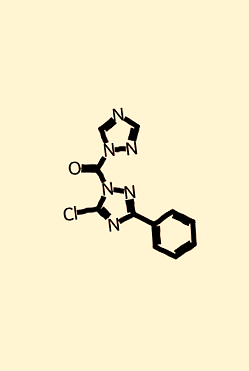 O=C(n1cncn1)n1nc(-c2ccccc2)nc1Cl